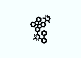 Cc1nc(-c2ccc3c(c2)-c2ccc(-c4c(C)ccnc4C)cc2C32c3ccccc3-c3ccccc32)cc(-c2ccccc2-c2ccccc2)n1